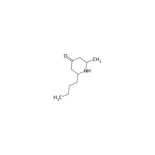 CCCCC1CC(=O)CC(C)N1